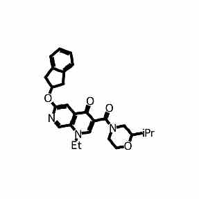 CCn1cc(C(=O)N2CCOC(C(C)C)C2)c(=O)c2cc(OC3Cc4ccccc4C3)ncc21